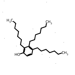 CCCCCCCc1ccc(O)c(CCCCCCC)c1CCCCCCC